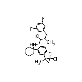 CC(Cc1cc(F)cc(F)c1)C(O)CNC1(c2cccc(C3(C)CC3(Cl)Cl)c2)CCCCC1